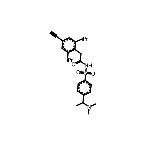 C#Cc1cc(C(C)C)c(CC(=O)NS(=O)(=O)c2ccc(C(C)N(C)C)cc2)c(C(C)C)c1